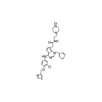 CCN1CCN(CCNC(=O)CS2=C3C(=C(Nc4ccc(OCc5cscn5)c(Cl)c4)N=CN3Cc3ccccc3)C=C2)CC1